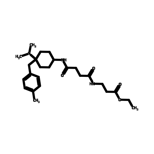 CCOC(=O)CCNC(=O)CCC(=O)NC1CCC(Cc2ccc(C)cc2)(N(C)C)CC1